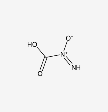 N=[N+]([O-])C(=O)O